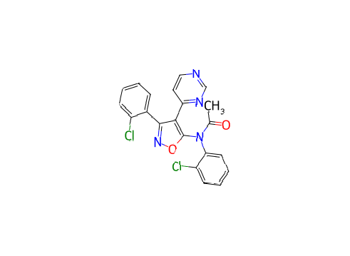 CC(=O)N(c1ccccc1Cl)c1onc(-c2ccccc2Cl)c1-c1ccncn1